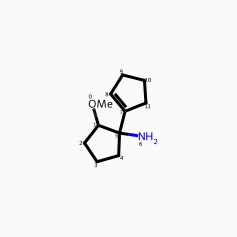 COC1CCCC1(N)C1=CCCC1